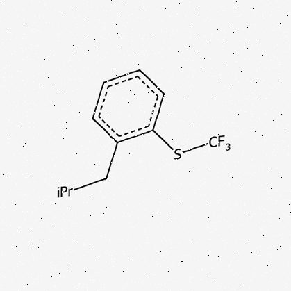 CC(C)Cc1ccccc1SC(F)(F)F